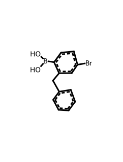 OB(O)c1ccc(Br)cc1Cc1ccccc1